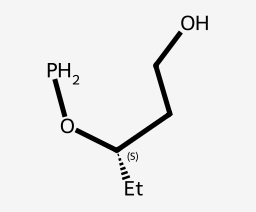 CC[C@@H](CCO)OP